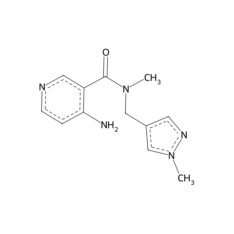 CN(Cc1cnn(C)c1)C(=O)c1cnccc1N